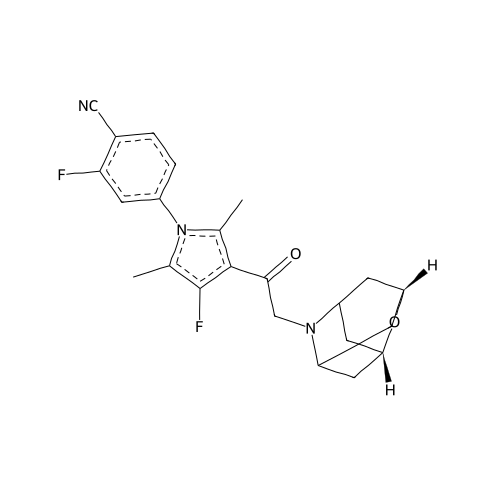 Cc1c(F)c(C(=O)CN2C3C[C@H]4CC2C[C@H](C3)O4)c(C)n1-c1ccc(C#N)c(F)c1